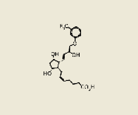 O=C(O)CCC/C=C\C[C@@H]1[C@@H](/C=C/C(O)COc2cccc(C(F)(F)F)c2)[C@@H](O)C[C@H]1O